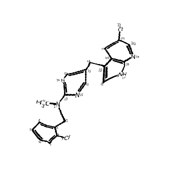 CN(Cc1ccccc1Cl)c1ncc(Cc2c[nH]c3ncc(Cl)cc23)cn1